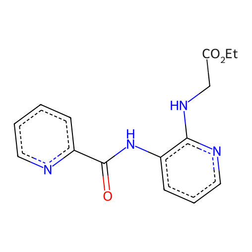 CCOC(=O)CNc1ncccc1NC(=O)c1ccccn1